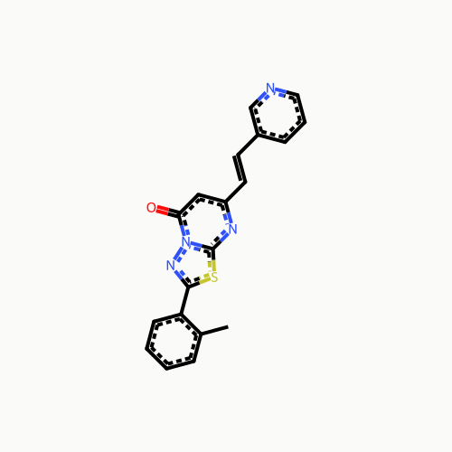 Cc1ccccc1-c1nn2c(=O)cc(/C=C/c3cccnc3)nc2s1